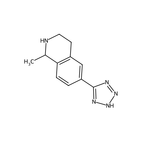 CC1NCCc2cc(-c3nn[nH]n3)ccc21